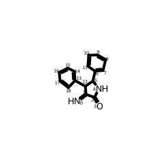 N=C1C(=O)NC(c2ccccc2)C1c1ccccc1